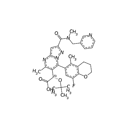 Cc1nc2cc(C(=O)N(C)Cc3cccnc3)nn2c(-c2cc(F)c3c(c2C)CCCO3)c1[C@H](OC(C)(C)C)C(=O)O